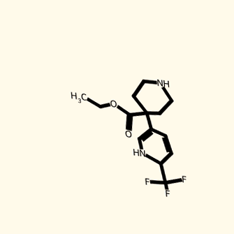 CCOC(=O)C1(C2=CNC(C(F)(F)F)C=C2)CCNCC1